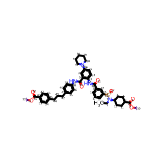 CCN(C1CCC(C(=O)OI)CC1)[S+]([O-])c1cccc(C(=O)Nc2ccc(N3CCCCC3)cc2C(=O)Nc2ccc(CCCc3ccc(C(=O)OI)cc3)cc2)c1